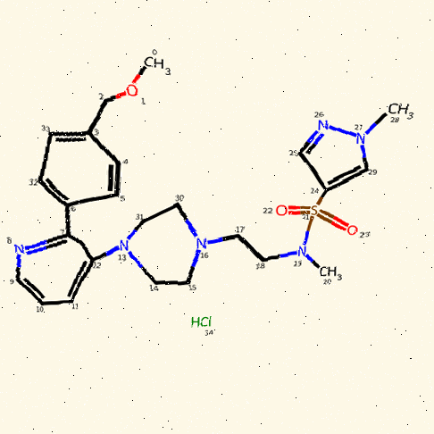 COCc1ccc(-c2ncccc2N2CCN(CCN(C)S(=O)(=O)c3cnn(C)c3)CC2)cc1.Cl